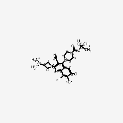 CN(C)C1CN(c2nc3c(F)c(Br)c(Cl)cc3c(N3CCN(C(=O)OC(C)(C)C)CC3)c2C#N)C1